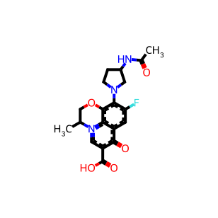 CC(=O)NC1CCN(c2c(F)cc3c(=O)c(C(=O)O)cn4c3c2OCC4C)C1